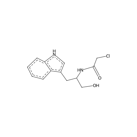 O=C(CCl)NC(CO)Cc1c[nH]c2ccccc12